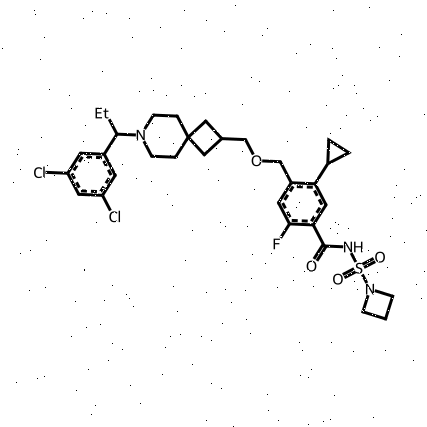 CCC(c1cc(Cl)cc(Cl)c1)N1CCC2(CC1)CC(COCc1cc(F)c(C(=O)NS(=O)(=O)N3CCC3)cc1C1CC1)C2